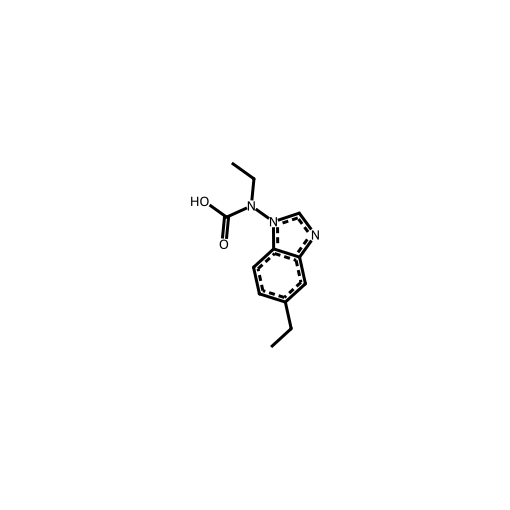 CCc1ccc2c(c1)ncn2N(CC)C(=O)O